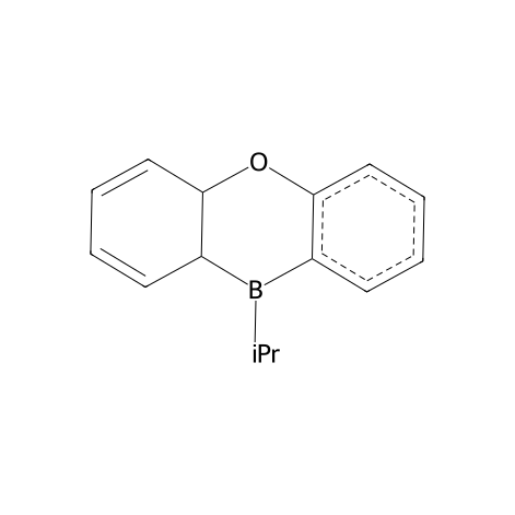 CC(C)B1c2ccccc2OC2C=CC=CC12